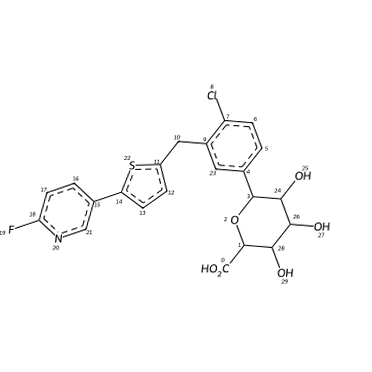 O=C(O)C1OC(c2ccc(Cl)c(Cc3ccc(-c4ccc(F)nc4)s3)c2)C(O)C(O)C1O